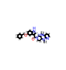 CCNc1cccnc1N(CC)C1CCN(C(=O)c2c[nH]c3ccc(OCc4ccccc4)cc23)CC1